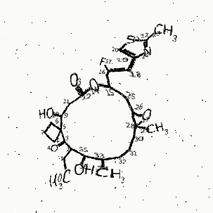 CCC1C(=O)C2(CCC2)C(O)CC(=O)OC(C(F)=Cc2csc(C)n2)CC2OC2(C)CCCC(C)C1O